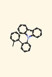 Cc1ccccc1-c1ccccc1-n1c2ccccc2c2ccccc21